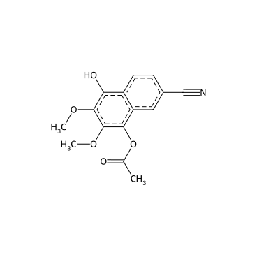 COc1c(OC)c(OC(C)=O)c2cc(C#N)ccc2c1O